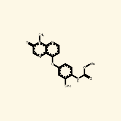 CSc1cc(Oc2ccnc3c2ncc(=O)n3C)ccc1NC(=O)OC(C)(C)C